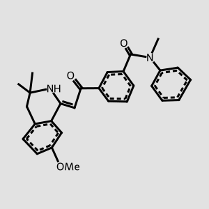 COc1ccc2c(c1)C(=CC(=O)c1cccc(C(=O)N(C)c3ccccc3)c1)NC(C)(C)C2